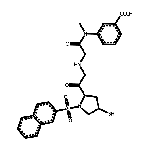 CN(C(=O)CNCC(=O)C1CC(S)CN1S(=O)(=O)c1ccc2ccccc2c1)c1cccc(C(=O)O)c1